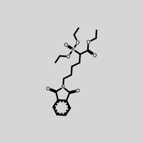 CCOC(=O)C(CCCCN1C(=O)c2ccccc2C1=O)P(=O)(OCC)OCC